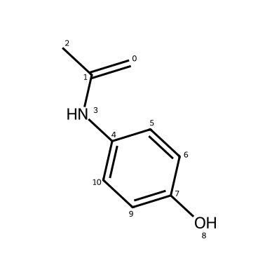 C=C(C)Nc1ccc(O)cc1